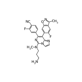 Cc1noc2cc(-c3c(-c4ccc(C#N)c(F)c4)nc(N(C)CCCN)n4ccnc34)c(F)cc12